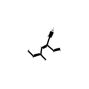 C=C/C(C#N)=C\C(C)=C/C